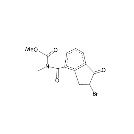 COC(=O)N(C)C(=O)c1cccc2c1CC(Br)C2=O